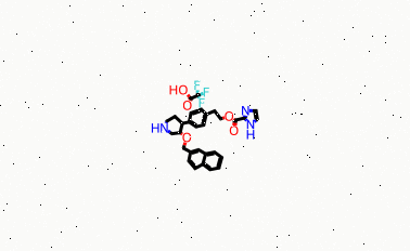 O=C(O)C(F)(F)F.O=C(OCCc1ccc(C2CCNCC2OCc2ccc3ccccc3c2)cc1)c1ncc[nH]1